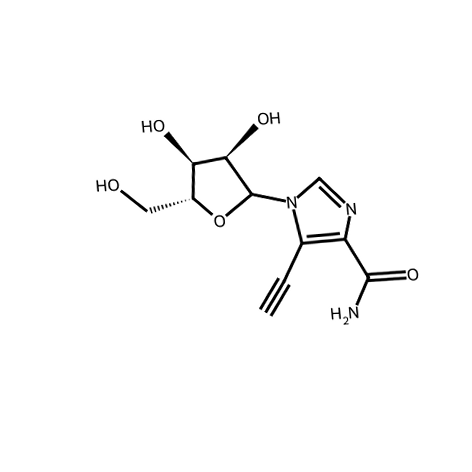 C#Cc1c(C(N)=O)ncn1C1O[C@H](CO)[C@@H](O)[C@H]1O